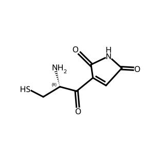 N[C@@H](CS)C(=O)C1=CC(=O)NC1=O